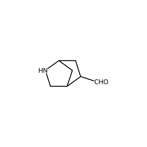 O=CC1CC2CC1CN2